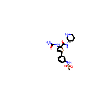 CS(=O)(=O)Nc1cccc(-c2cc(NC(N)=O)c(C(=O)N[C@H]3CCCNC3)s2)c1